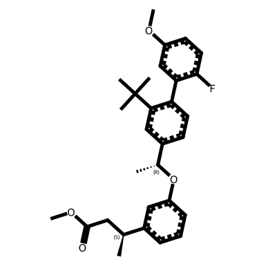 COC(=O)C[C@H](C)c1cccc(O[C@H](C)c2ccc(-c3cc(OC)ccc3F)c(C(C)(C)C)c2)c1